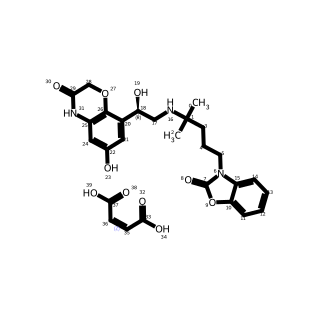 CC(C)(CCCn1c(=O)oc2ccccc21)NC[C@H](O)c1cc(O)cc2c1OCC(=O)N2.O=C(O)/C=C\C(=O)O